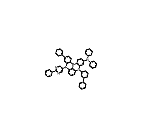 c1ccc(-c2cccc(N3c4cc(N(c5ccccc5)c5ccccc5)ccc4B4c5ccc(-c6ccccc6)cc5N(c5cnc(-c6ccccc6)nc5)c5cccc3c54)c2)cc1